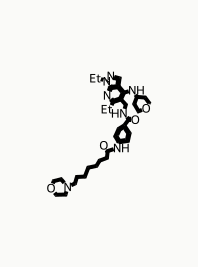 CCc1nc2c(cnn2CC)c(NC2CCOCC2)c1CNC(=O)c1ccc(NC(=O)CCCCCCCN2CCOCC2)cc1